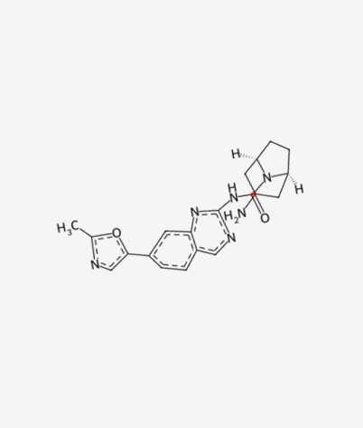 Cc1ncc(-c2ccc3cnc(NC(=O)N4[C@@H]5CC[C@H]4CC(N)C5)nc3c2)o1